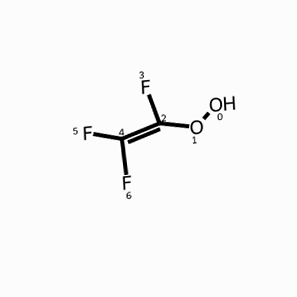 OOC(F)=C(F)F